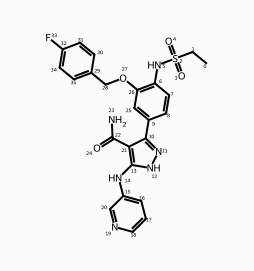 CCS(=O)(=O)Nc1ccc(-c2n[nH]c(Nc3cccnc3)c2C(N)=O)cc1OCc1ccc(F)cc1